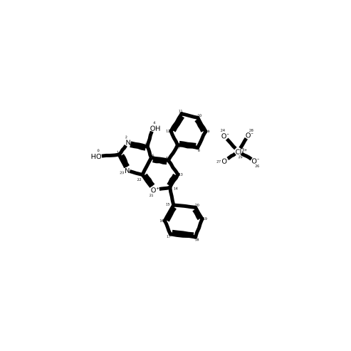 Oc1nc(O)c2c(-c3ccccc3)cc(-c3ccccc3)[o+]c2n1.[O-][Cl+3]([O-])([O-])[O-]